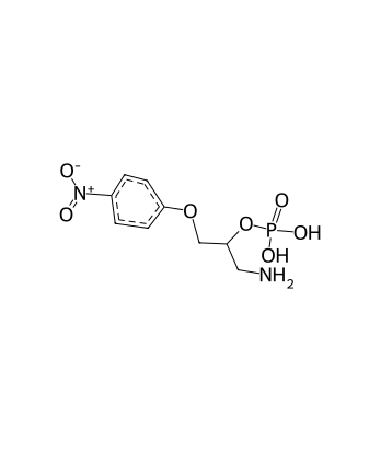 NCC(COc1ccc([N+](=O)[O-])cc1)OP(=O)(O)O